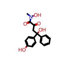 CN(O)C(=O)C(=O)CC(O)(c1ccccc1)c1ccc(O)cc1